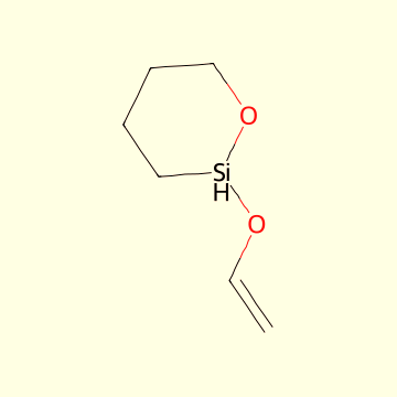 C=CO[SiH]1CCCCO1